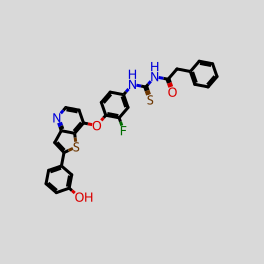 O=C(Cc1ccccc1)NC(=S)Nc1ccc(Oc2ccnc3cc(-c4cccc(O)c4)sc23)c(F)c1